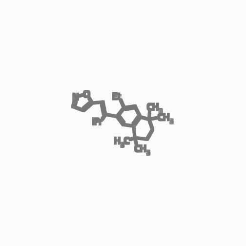 CCc1cc2c(cc1C(=Cc1ccno1)C(C)C)C(C)(C)CCC2(C)C